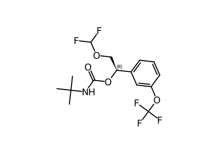 CC(C)(C)NC(=O)O[C@@H](COC(F)F)c1cccc(OC(F)(F)F)c1